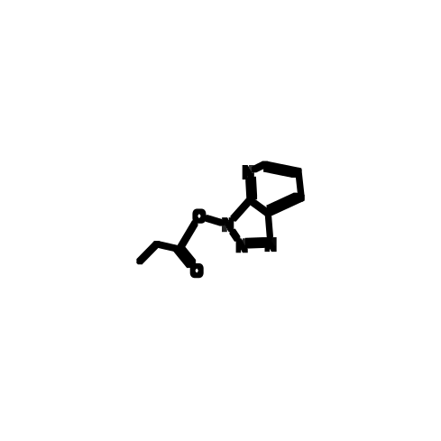 CCC(=O)On1nnc2cccnc21